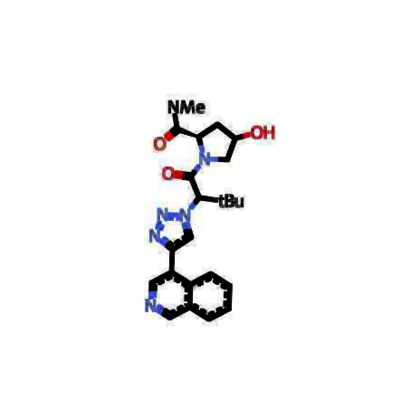 CNC(=O)[C@H]1CC(O)CN1C(=O)C(n1cc(-c2cncc3ccccc23)nn1)C(C)(C)C